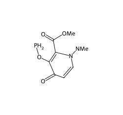 CNn1ccc(=O)c(OP)c1C(=O)OC